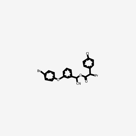 CC(C)C(C(=O)OC(C#N)c1cccc(Oc2ccc(Br)cc2)c1)c1ccc(Cl)cc1